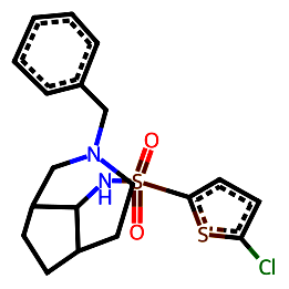 O=S(=O)(NC1C2CCC1CN(Cc1ccccc1)CC2)c1ccc(Cl)s1